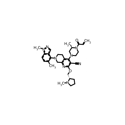 C=CC(=O)N1CCN(c2c(C#N)c(OC[C@@H]3CCCN3C)nc3c2CCN(c2c(C)ccc4c2cnn4C)C3)C[C@H]1C